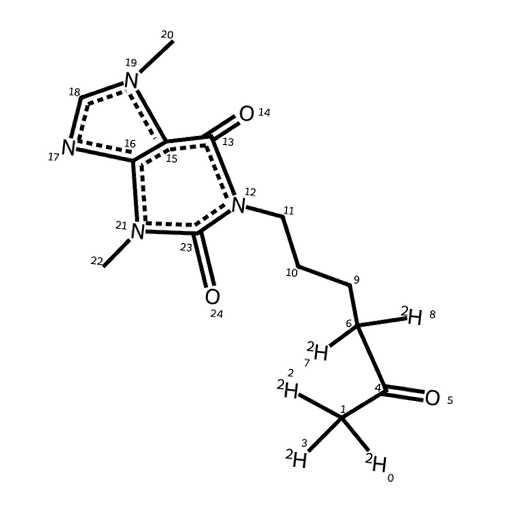 [2H]C([2H])([2H])C(=O)C([2H])([2H])CCCn1c(=O)c2c(ncn2C)n(C)c1=O